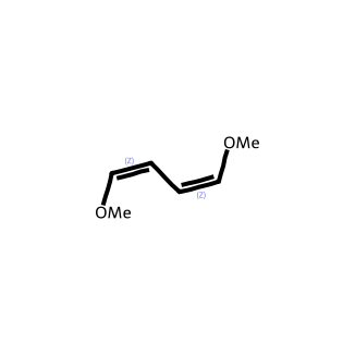 CO/C=C\C=C/OC